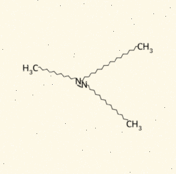 CCCCCCCCCCCCCCCCCCC1N(CCCCCCCCCCCC)C=CN1CCCCCCCCCCCCCCCC